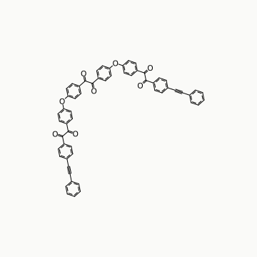 O=C(C(=O)c1ccc(Oc2ccc(C(=O)C(=O)c3ccc(Oc4ccc(C(=O)C(=O)c5ccc(C#Cc6ccccc6)cc5)cc4)cc3)cc2)cc1)c1ccc(C#Cc2ccccc2)cc1